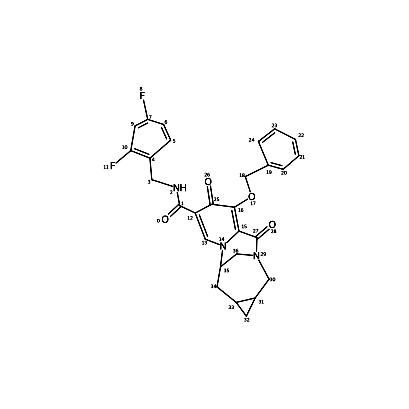 O=C(NCc1ccc(F)cc1F)c1cn2c(c(OCc3ccccc3)c1=O)C(=O)N1CC3CC3CC2C1